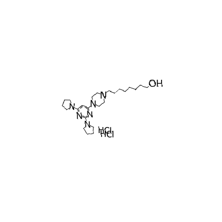 Cl.Cl.OCCCCCCCCN1CCN(c2cc(N3CCCC3)nc(N3CCCC3)n2)CC1